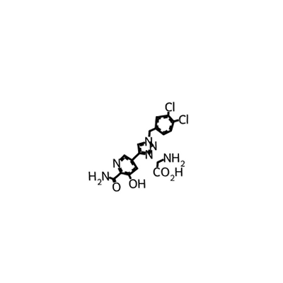 NC(=O)c1ncc(-c2cn(Cc3ccc(Cl)c(Cl)c3)nn2)cc1O.NCC(=O)O